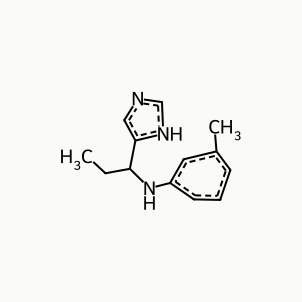 CCC(Nc1cccc(C)c1)c1cnc[nH]1